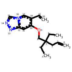 C=CCC(CC)(CC)COc1cc2nncn2cc1C=C